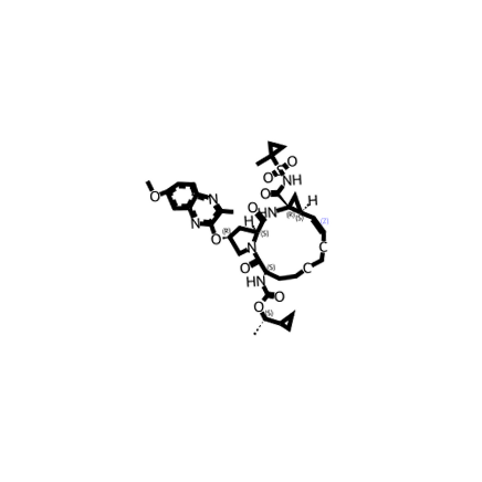 COc1ccc2nc(C)c(O[C@@H]3C[C@H]4C(=O)N[C@]5(C(=O)NS(=O)(=O)C6(C)CC6)C[C@H]5/C=C\CCCCC[C@H](NC(=O)O[C@@H](C)C5CC5)C(=O)N4C3)nc2c1